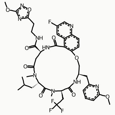 COc1cccc(C[C@@H]2COc3ccc4ncc(F)cc4c3C(=O)N[C@H](C(=O)NCCc3nc(OC)no3)CC(=O)N(C)[C@@H](CC(C)C)C(=O)N(C)[C@H](CC(F)(F)F)C(=O)N2)n1